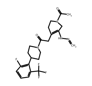 C=NNC1=C(CC(=O)N2CCC(c3c(F)cccc3C(F)(F)F)CC2)CCN(C(C)=O)C1